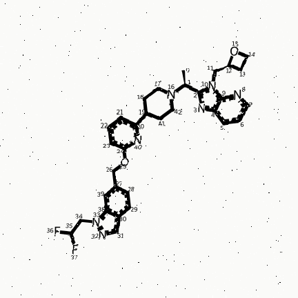 C[C@@H](c1nc2cccnc2n1C[C@@H]1CCO1)N1CCC(c2cccc(OCc3ccc4cnn(CC(F)F)c4c3)n2)CC1